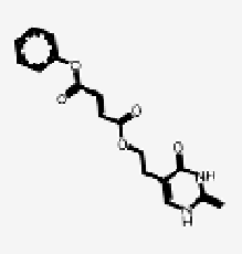 C=C1NC=C(CCOC(=O)/C=C/C(=O)Oc2ccccc2)C(=O)N1